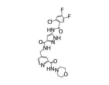 O=C(NCc1ccnc(C(=O)NN2CCOCC2)c1)c1cc(NC(=O)c2cc(F)c(F)cc2Cl)[nH]n1